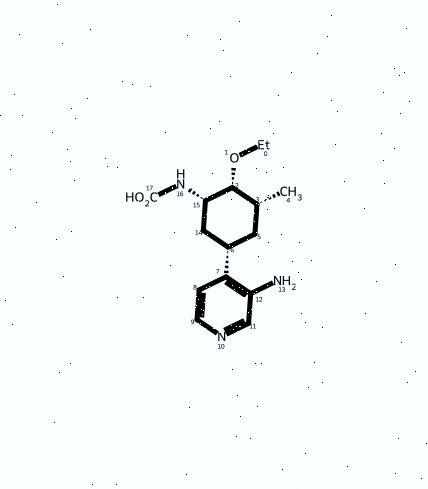 CCO[C@@H]1[C@H](C)C[C@H](c2ccncc2N)C[C@@H]1NC(=O)O